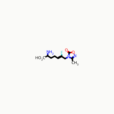 Cc1noc(=O)n1CC(F)=CCCC(N)C(=O)O